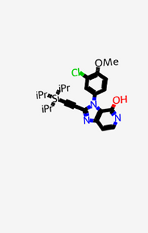 COc1ccc(-n2c(C#C[Si](C(C)C)(C(C)C)C(C)C)nc3ccnc(O)c32)cc1Cl